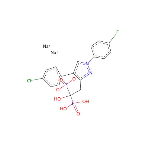 O=P([O-])([O-])C(O)(Cc1nn(-c2ccc(F)cc2)cc1-c1ccc(Cl)cc1)P(=O)(O)O.[Na+].[Na+]